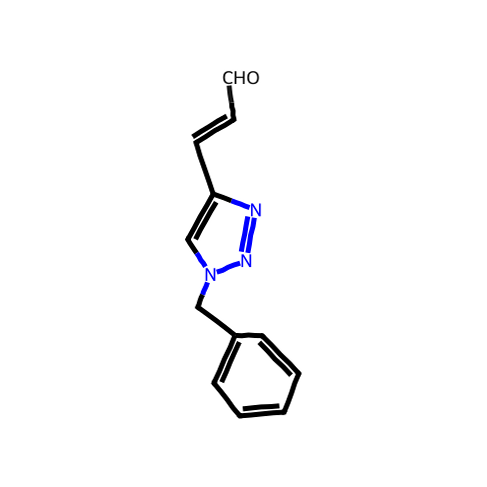 O=CC=Cc1cn(Cc2ccccc2)nn1